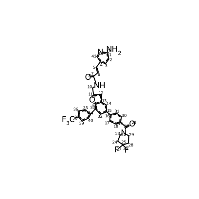 Nc1ccc(C=CC(=O)NCc2cc3cc(-c4ccc(C(=O)N5CCC(F)(F)CC5)cc4)cc(-c4ccc(C(F)(F)F)cc4)c3o2)cn1